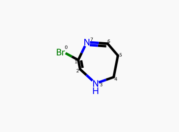 BrC1=CNCCC=N1